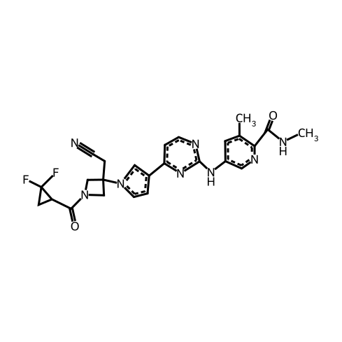 CNC(=O)c1ncc(Nc2nccc(-c3ccn(C4(CC#N)CN(C(=O)C5CC5(F)F)C4)c3)n2)cc1C